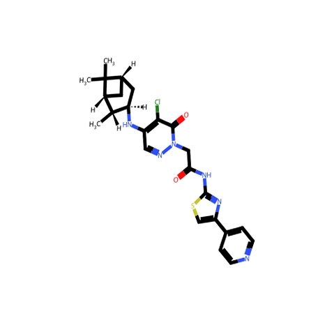 C[C@@H]1[C@H]2C[C@@H](C[C@H]1Nc1cnn(CC(=O)Nc3nc(-c4ccncc4)cs3)c(=O)c1Cl)C2(C)C